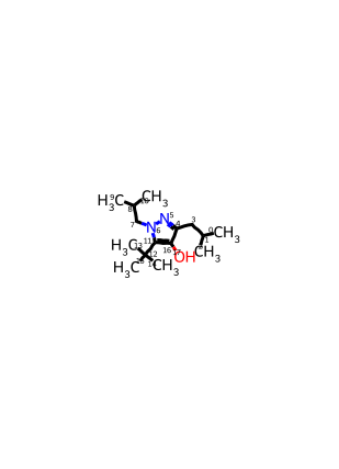 CC(C)Cc1nn(CC(C)C)c(C(C)(C)C)c1O